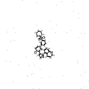 O=c1ccn(-c2cccc(S(=O)(=O)N3CCCCC3)c2)nc1-c1ccnn1-c1cccc2ncccc12